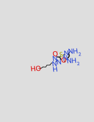 COc1nc(NCCCCCCO)nc(OC)c1Sc1nc(N)cc(N)n1